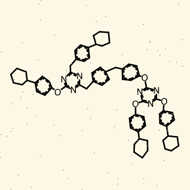 c1cc(Cc2nc(Cc3ccc(C4CCCCC4)cc3)nc(Oc3ccc(C4CCCCC4)cc3)n2)ccc1Cc1ccc(Oc2nc(Oc3ccc(C4CCCCC4)cc3)nc(Oc3ccc(C4CCCCC4)cc3)n2)cc1